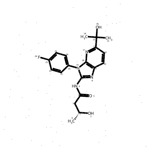 C[C@@H](O)CC(=O)Nc1nc2ccc(C(C)(C)O)nc2n1-c1ccc(F)cc1